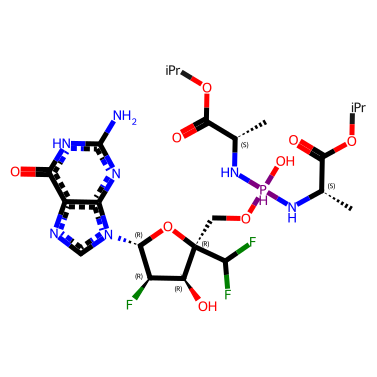 CC(C)OC(=O)[C@H](C)N[PH](O)(N[C@@H](C)C(=O)OC(C)C)OC[C@@]1(C(F)F)O[C@@H](n2cnc3c(=O)[nH]c(N)nc32)[C@H](F)[C@@H]1O